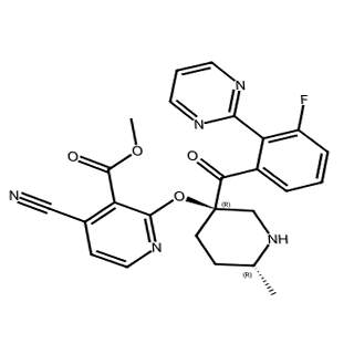 COC(=O)c1c(C#N)ccnc1O[C@]1(C(=O)c2cccc(F)c2-c2ncccn2)CC[C@@H](C)NC1